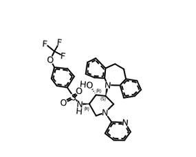 O=S(=O)(N[C@@H]1CN(c2ccccn2)C[C@H](N2c3ccccc3CCc3ccccc32)[C@H]1O)c1ccc(OC(F)(F)F)cc1